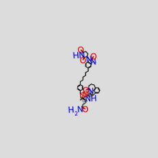 C[C@@H](OCc1ccc(CCCCCCc2ccc3c(c2)n(C)c(=O)n3C2CCC(=O)NC2=O)cc1)[C@H](CCC(N)=O)NC(=O)[C@@H]1Cc2cccc3c2N1C(=O)CCC3